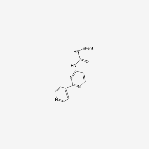 CCCCCNC(=O)Nc1ccnc(-c2ccncc2)n1